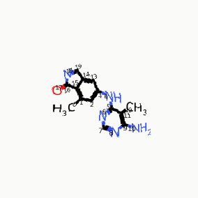 Cc1cc(Nc2ncnc(N)c2C)cc2c1C(=O)N=C2